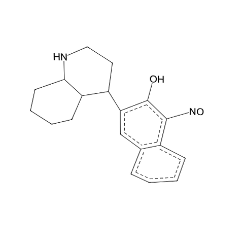 O=Nc1c(O)c(C2CCNC3CCCCC32)cc2ccccc12